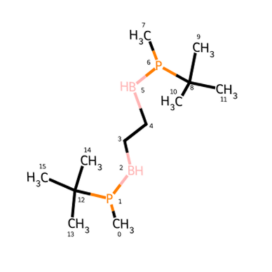 CP(BCCBP(C)C(C)(C)C)C(C)(C)C